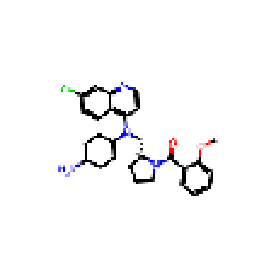 COc1ccccc1C(=O)N1CCC[C@@H]1CN(c1ccnc2cc(Cl)ccc12)C1CCC(N)CC1